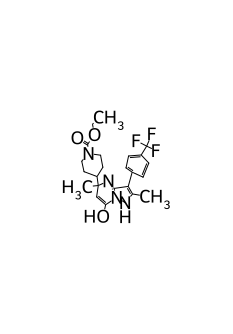 CCOC(=O)N1CCC(C2(C)C=C(O)N3NC(C)=C(c4ccc(C(F)(F)F)cc4)C3=N2)CC1